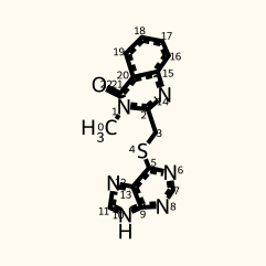 Cn1c(CSc2ncnc3[nH]cnc23)nc2ccccc2c1=O